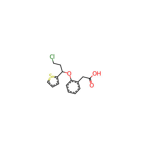 O=C(O)Cc1ccccc1OC(CCCl)c1cccs1